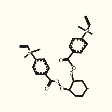 C=C[Si](C)(C)c1ccc(C(=O)OO[C]2CC[CH]CC2OOC(=O)c2ccc([Si](C)(C)C=C)cc2)cc1